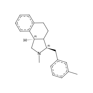 Cc1cccc(C[C@@H]2C3CCc4ccccc4[C@@H]3CN2C)c1